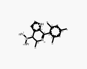 CCCN(CCC)C1c2cc[nH]c2C(c2c(C)cc(C)cc2C)=NC1C